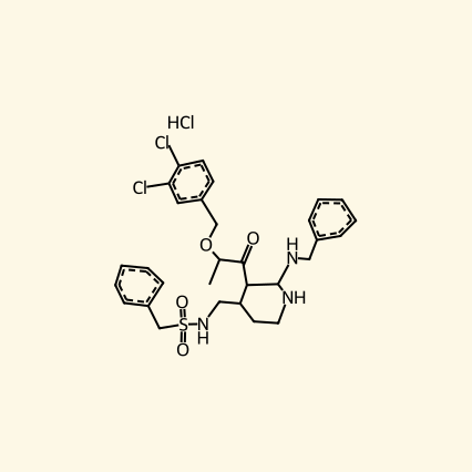 CC(OCc1ccc(Cl)c(Cl)c1)C(=O)C1C(CNS(=O)(=O)Cc2ccccc2)CCNC1NCc1ccccc1.Cl